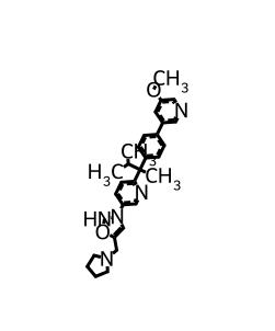 COc1cncc(-c2ccc(C(C)(c3ccc(N4C=C(CN5CCCC5)ON4)cn3)C(C)C)cc2)c1